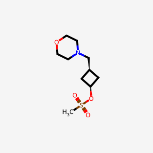 CS(=O)(=O)O[C@H]1C[C@@H](CN2CCOCC2)C1